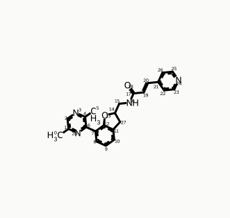 Cc1cnc(C)c(-c2cccc3c2OC(CNC(=O)C=Cc2ccncc2)C3)n1